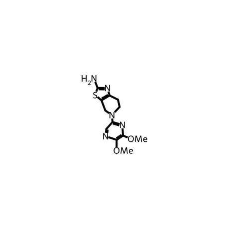 COc1ncc(N2CCc3nc(N)sc3C2)nc1OC